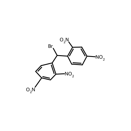 O=[N+]([O-])c1ccc(C(Br)c2ccc([N+](=O)[O-])cc2[N+](=O)[O-])c([N+](=O)[O-])c1